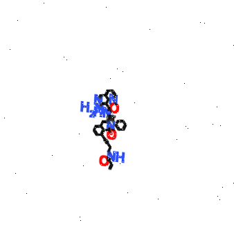 C=CC(=O)NCCC#Cc1cccc2cc([C@H](C)NC(=O)c3c(N)ncc4cccnc34)n(-c3ccccc3)c(=O)c12